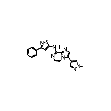 Cn1cc(-c2cnc3c(Nc4cc(-c5ccccc5)ns4)nccn23)cn1